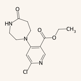 CCOC(=O)c1cnc(Cl)cc1N1CCNC(=O)CC1